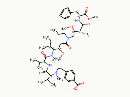 CCCN(C[C@H](OC)[C@@H](C)C(=O)N[C@@H](Cc1ccccc1)C(=O)OC)C(=O)C[C@@H](OC)[C@H]([C@@H](C)CC)N(C)C(=O)C(NC(=O)[C@H](C(C)C)N(C)CCc1ccc(C(=O)O)cc1)C(C)C